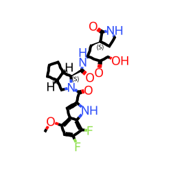 COc1cc(F)c(F)c2[nH]c(C(=O)N3C[C@@H]4CCC[C@@H]4[C@H]3C(=O)NC(C[C@@H]3CCNC3=O)C(=O)CO)cc12